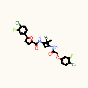 C[C@@H]1C2(NC(=O)COc3ccc(Cl)c(F)c3)CC1(NC(=O)c1ccc(-c3ccc(Cl)c(F)c3)o1)C2